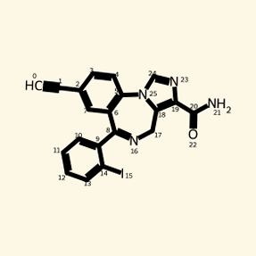 C#Cc1ccc2c(c1)C(c1ccccc1I)=NCc1c(C(N)=O)ncn1-2